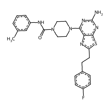 Cc1cccc(NC(=O)N2CCN(c3nc(N)nc4sc(CCc5ccc(F)cc5)nc34)CC2)c1